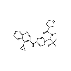 CN(C(=O)C1CCOC1)[C@@H](c1ccc(Nc2cnc3cccnc3c2C2CC2)cc1)C(F)(F)F